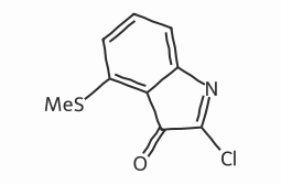 CSc1cccc2c1C(=O)C(Cl)=N2